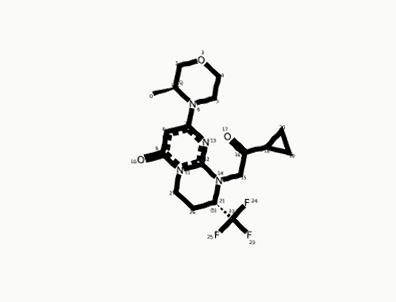 C[C@H]1COCCN1c1cc(=O)n2c(n1)N(CC(=O)C1CC1)[C@H](C(F)(F)F)CC2